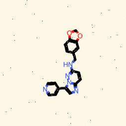 c1cc(-c2cnc3ccc(NCc4ccc5c(c4)OCO5)nn23)ccn1